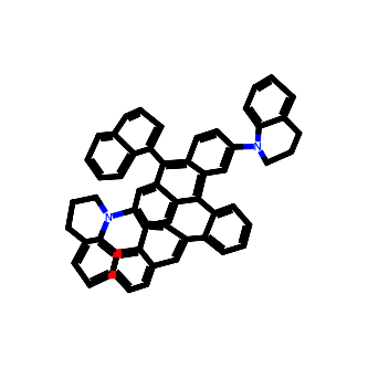 c1ccc2c(c1)CCCN2c1ccc2c(-c3cccc4ccccc34)c3cc(N4CCCc5ccccc54)ccc3c(-c3ccccc3-c3ccc4ccccc4c3)c2c1